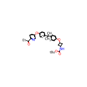 CCC(=O)c1ccc(Oc2ccc(C(C)(C)c3ccc(OC4CC(NC(=O)OC(C)(C)C)C4)cc3)cc2)cn1